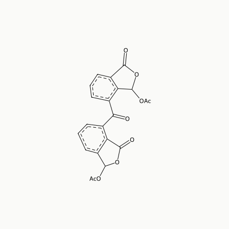 CC(=O)OC1OC(=O)c2c(C(=O)c3cccc4c3C(OC(C)=O)OC4=O)cccc21